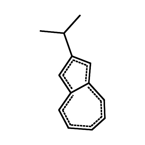 CC(C)c1cc2cccccc-2c1